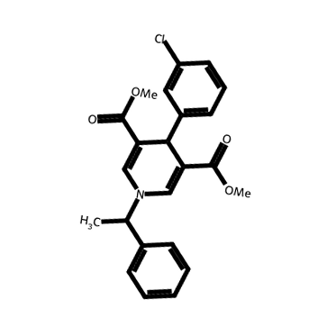 COC(=O)C1=CN(C(C)c2ccccc2)C=C(C(=O)OC)C1c1cccc(Cl)c1